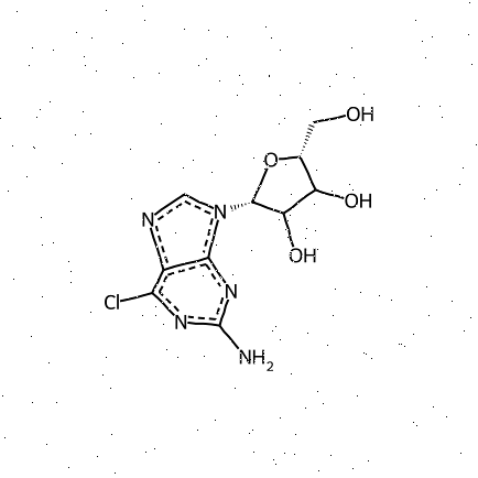 Nc1nc(Cl)c2ncn([C@@H]3O[C@H](CO)C(O)C3O)c2n1